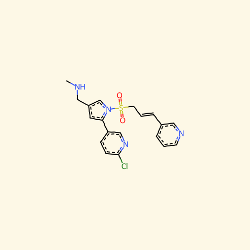 CNCc1cc(-c2ccc(Cl)nc2)n(S(=O)(=O)CC=Cc2cccnc2)c1